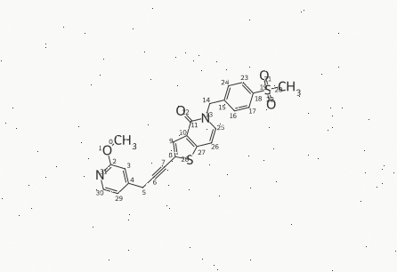 COc1cc(CC#Cc2cc3c(=O)n(Cc4ccc(S(C)(=O)=O)cc4)ccc3s2)ccn1